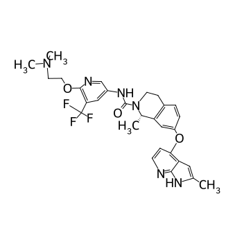 Cc1cc2c(Oc3ccc4c(c3)[C@H](C)N(C(=O)Nc3cnc(OCCN(C)C)c(C(F)(F)F)c3)CC4)ccnc2[nH]1